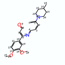 C=C(\C=C/C=N/C(=C\C=O)c1ccc(OC)c(OC)c1)N1CCC(C)CC1